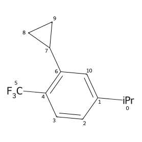 CC(C)c1ccc(C(F)(F)F)c(C2CC2)c1